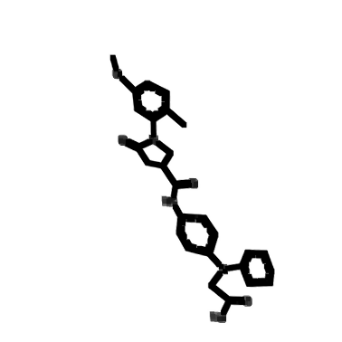 COc1ccc(C)c(N2CC(C(=O)Nc3ccc(N(CC(=O)O)c4ccccc4)cc3)CC2=O)c1